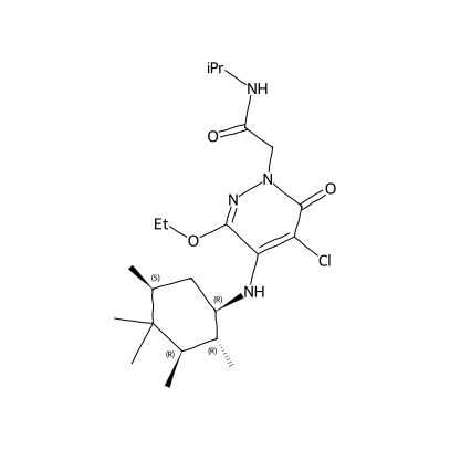 CCOc1nn(CC(=O)NC(C)C)c(=O)c(Cl)c1N[C@@H]1C[C@H](C)C(C)(C)[C@H](C)[C@H]1C